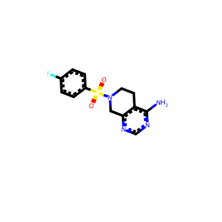 Nc1ncnc2c1CCN(S(=O)(=O)c1ccc(F)cc1)C2